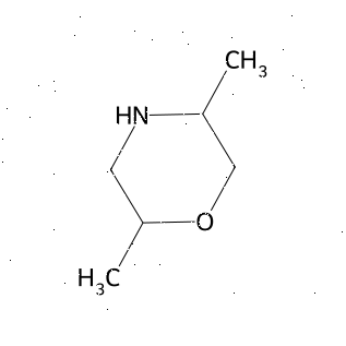 CC1COC(C)CN1